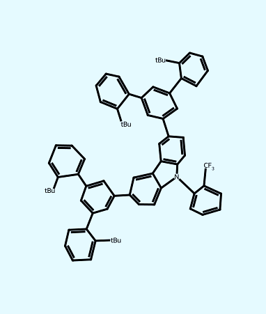 CC(C)(C)c1ccccc1-c1cc(-c2ccc3c(c2)c2cc(-c4cc(-c5ccccc5C(C)(C)C)cc(-c5ccccc5C(C)(C)C)c4)ccc2n3-c2ccccc2C(F)(F)F)cc(-c2ccccc2C(C)(C)C)c1